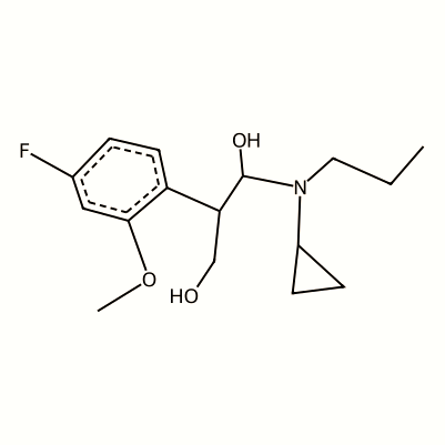 CCCN(C1CC1)C(O)C(CO)c1ccc(F)cc1OC